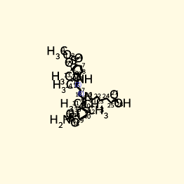 COCS(=O)(=O)c1ccc2c(c1)C(C)(C)/C(=C/C=C/C(=NCCCCCC(=O)O)C(C)(C)c1cc(S(N)(=O)=O)ccc1C)N2